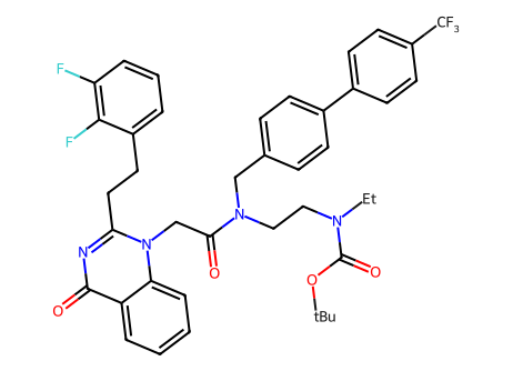 CCN(CCN(Cc1ccc(-c2ccc(C(F)(F)F)cc2)cc1)C(=O)Cn1c(CCc2cccc(F)c2F)nc(=O)c2ccccc21)C(=O)OC(C)(C)C